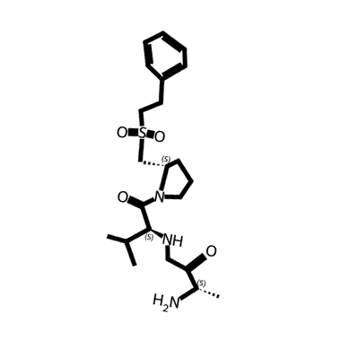 CC(C)[C@H](NCC(=O)[C@H](C)N)C(=O)N1CCC[C@H]1CS(=O)(=O)CCc1ccccc1